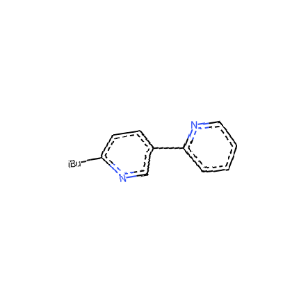 CCC(C)c1ccc(-c2ccccn2)cn1